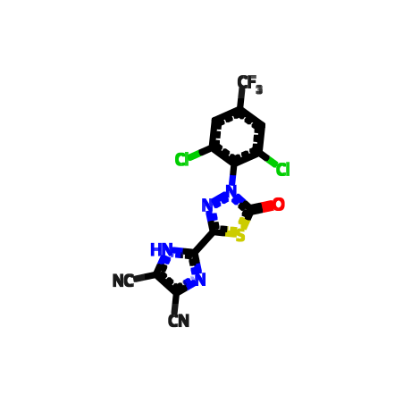 N#Cc1nc(-c2nn(-c3c(Cl)cc(C(F)(F)F)cc3Cl)c(=O)s2)[nH]c1C#N